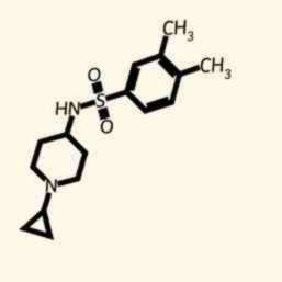 Cc1ccc(S(=O)(=O)NC2CCN(C3CC3)CC2)cc1C